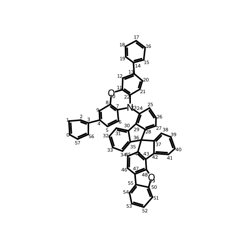 c1ccc(-c2ccc3c(c2)Oc2cc(-c4ccccc4)ccc2N3c2cccc3c2-c2ccccc2C32c3ccccc3-c3c2ccc2c3oc3ccccc32)cc1